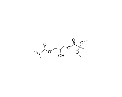 C=C(C)C(=O)OCC(O)COC(=O)C(C)(OC)OC